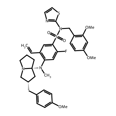 C=Cc1cc(S(=O)(=O)N(Cc2ccc(OC)cc2OC)c2nccs2)c(F)cc1N(C)[C@@]12CCCN1C[C@@H](Cc1ccc(OC)cc1)C2